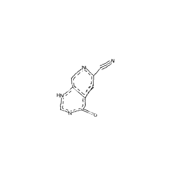 N#Cc1cc2c(=O)nc[nH]c2cn1